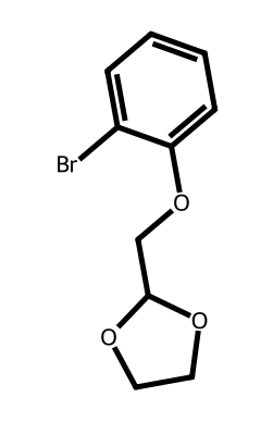 Brc1ccccc1OCC1OCCO1